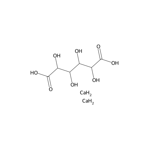 O=C(O)C(O)C(O)C(O)C(O)C(=O)O.[CaH2].[CaH2]